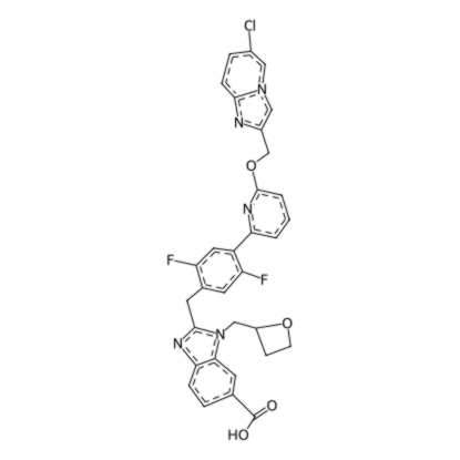 O=C(O)c1ccc2nc(Cc3cc(F)c(-c4cccc(OCc5cn6cc(Cl)ccc6n5)n4)cc3F)n(CC3CCO3)c2c1